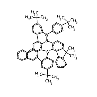 CC(C)(C)c1ccc(N2B3c4ccc5c(c4N(c4ccc(C(C)(C)C)cc4-c4ccccc4)c4cc(-c6ccccc6)cc(c43)-c3ccc(C(C)(C)C)cc32)-c2ccccc2C5(C)C)cc1